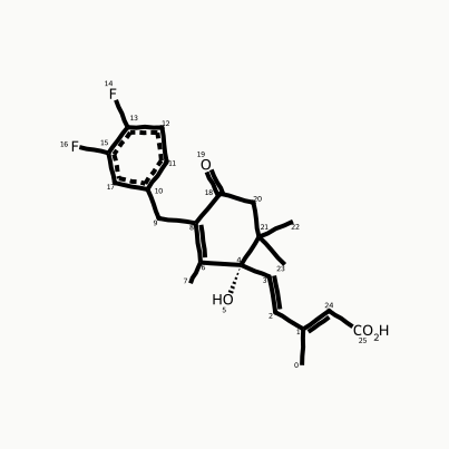 CC(C=C[C@@]1(O)C(C)=C(Cc2ccc(F)c(F)c2)C(=O)CC1(C)C)=CC(=O)O